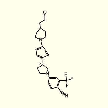 N#Cc1ccc(N2CC[C@H](c3ccc(N4CCC(CC=O)CC4)cc3)C2)cc1C(F)(F)F